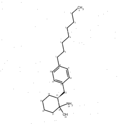 CCCCCCCCc1ccc(C[C@@H]2CCCCC2(N)O)cc1